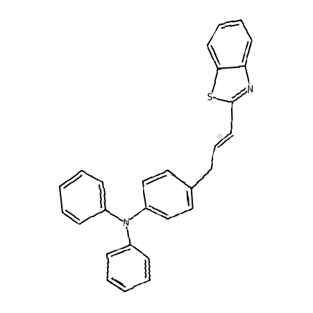 C(=C\c1nc2ccccc2s1)/Cc1ccc(N(c2ccccc2)c2ccccc2)cc1